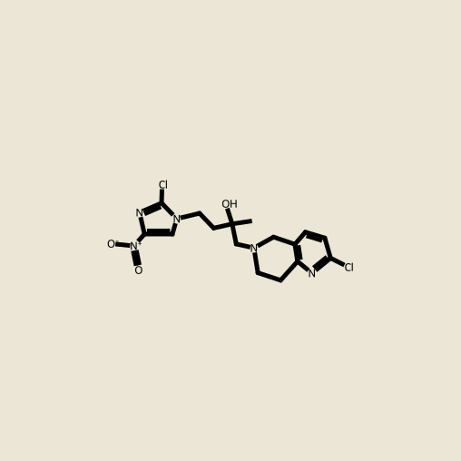 CC(O)(CCn1cc([N+](=O)[O-])nc1Cl)CN1CCc2nc(Cl)ccc2C1